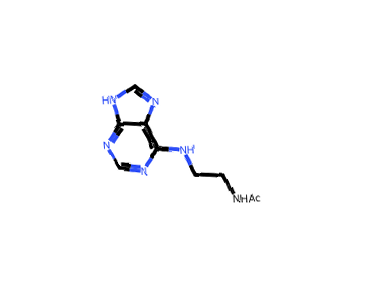 CC(=O)NCCNc1ncnc2[nH]cnc12